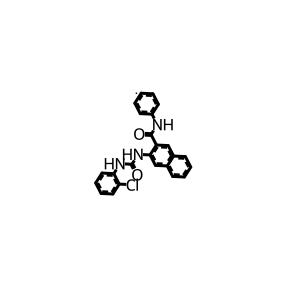 O=C(Nc1ccccc1Cl)Nc1cc2ccccc2cc1C(=O)Nc1cc[c]cc1